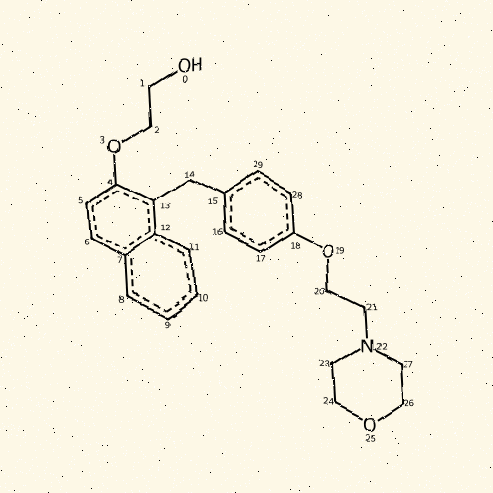 OCCOc1ccc2ccccc2c1Cc1ccc(OCCN2CCOCC2)cc1